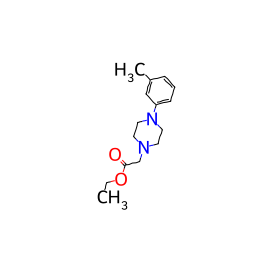 CCOC(=O)CN1CCN(c2cccc(C)c2)CC1